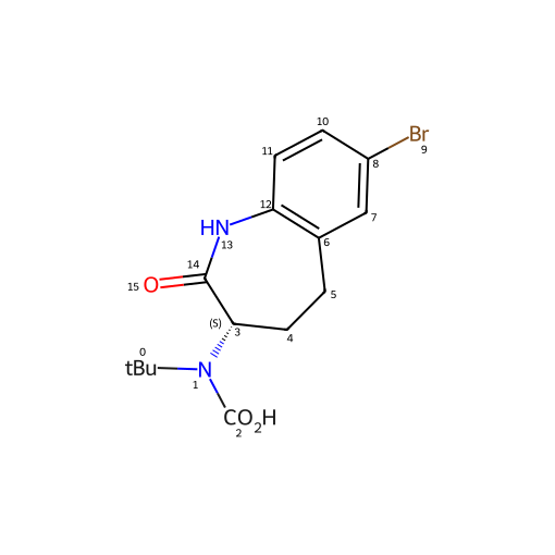 CC(C)(C)N(C(=O)O)[C@H]1CCc2cc(Br)ccc2NC1=O